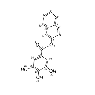 O=C(Oc1ccc2ccccc2c1)c1cc(O)c(O)c(O)c1